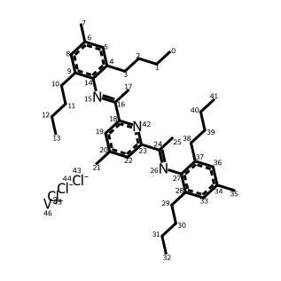 CCCCc1cc(C)cc(CCCC)c1N=C(C)c1cc(C)cc(C(C)=Nc2c(CCCC)cc(C)cc2CCCC)n1.[Cl-].[Cl-].[Cl-].[V+3]